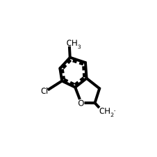 [CH2]C1Cc2cc(C)cc(Cl)c2O1